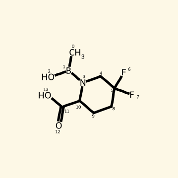 CB(O)N1CC(F)(F)CCC1C(=O)O